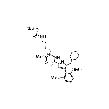 COC(=O)[C@H](CCCCNC(=O)OC(C)(C)C)NC(=O)c1cc(-c2c(OC)cccc2OC)n(CC2CCCCC2)n1